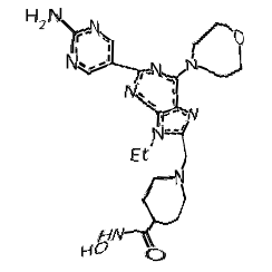 CCn1c(CN2CCC(C(=O)NO)CC2)nc2c(N3CCOCC3)nc(-c3cnc(N)nc3)nc21